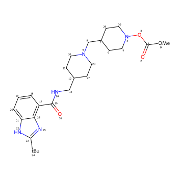 COC(=O)ON1CCC(CN2CCC(CNC(=O)c3cccc4[nH]c(C(C)(C)C)nc34)CC2)CC1